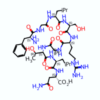 CC(C)C[C@H](NC(=O)CNC(=O)[C@@H](N)Cc1ccccc1)C(=O)N[C@@H](CO)C(=O)N[C@@H](CCCNC(=N)N)C(=O)N[C@H](C(=O)N[C@H](C(=O)N[C@@H](CC(C)C)C(=O)N[C@@H](CC(N)=O)C(=O)O)[C@@H](C)O)C(C)C